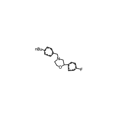 CCCCc1ccc(CN2CCOC(c3ccc(F)cc3)C2)cc1